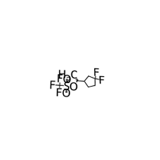 C=C(OS(=O)(=O)C(F)(F)F)C1CCC(F)(F)C1